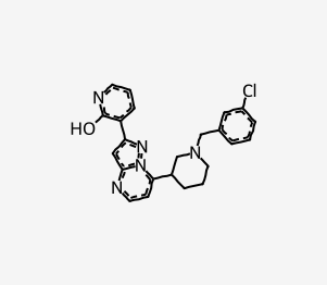 Oc1ncccc1-c1cc2nccc(C3CCCN(Cc4cccc(Cl)c4)C3)n2n1